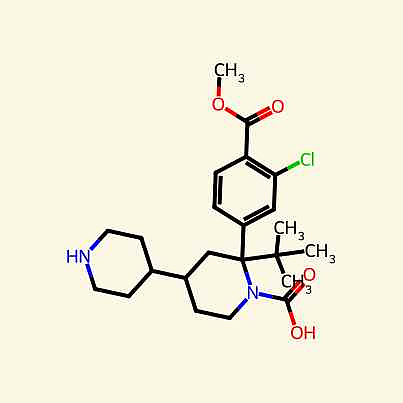 COC(=O)c1ccc(C2(C(C)(C)C)CC(C3CCNCC3)CCN2C(=O)O)cc1Cl